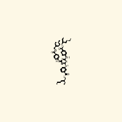 CCCCC(CC)COC(=O)c1ccc(Nc2nc(Nc3ccc(C(=O)OCC(CC)CCCC)cc3)nc(Nc3cccc(C(=O)OCC(CC)CCCC)c3)n2)cc1